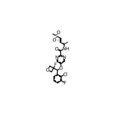 C[C@H](/C=C/S(C)(=O)=O)NC(=O)c1ncc(OC(c2cccc(F)c2Cl)C2(F)COC2)cn1